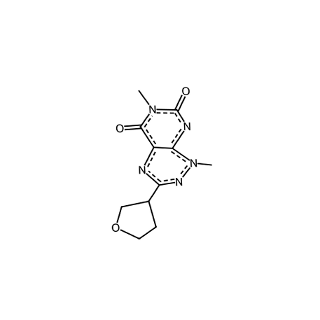 Cn1nc(C2CCOC2)nc2c(=O)n(C)c(=O)nc1-2